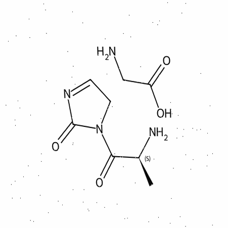 C[C@H](N)C(=O)N1CC=NC1=O.NCC(=O)O